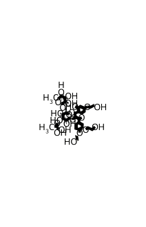 CC(=O)C(O)O.C[C@@H]1O[C@@H](OC[C@H]2O[C@@H](Oc3c(-c4ccc(OCCO)c(OCCO)c4)oc4cc(OCCO)cc(O)c4c3=O)[C@H](O)[C@@H](O)[C@@H]2O)[C@H](O)[C@H](O)[C@H]1O